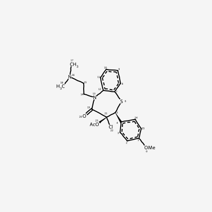 COc1ccc([C@@H]2Sc3ccccc3N(CCN(C)C)C(=O)[C@]2(Cl)OC(C)=O)cc1